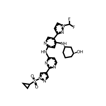 O=S(=O)(C1CC1)n1cc(-c2nccc(Nc3cc(N[C@H]4CCC[C@H](O)C4)c(-c4ccn(C(F)F)n4)cn3)n2)cn1